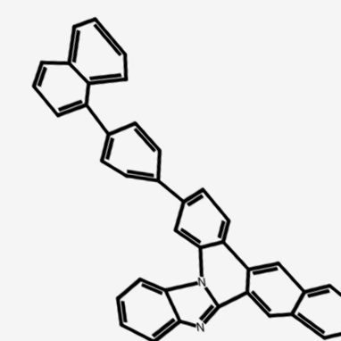 c1ccc2cc3c(cc2c1)c1ccc(-c2ccc(-c4cccc5ccccc45)cc2)cc1n1c2ccccc2nc31